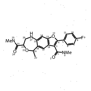 CNC(=O)c1c(-c2ccc(F)cc2)oc2cc3c(cc12)C(C)OC(C(=O)NC)CN3